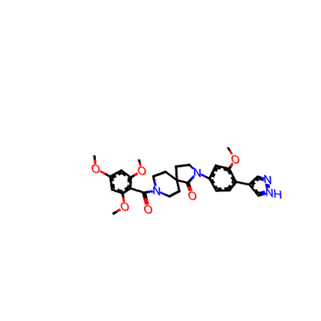 COc1cc(OC)c(C(=O)N2CCC3(CC2)CCN(c2ccc(-c4cn[nH]c4)c(OC)c2)C3=O)c(OC)c1